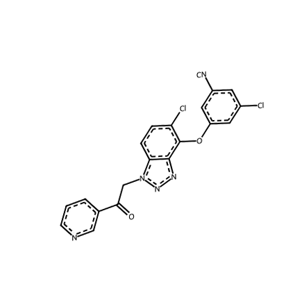 [C-]#[N+]c1cc(Cl)cc(Oc2c(Cl)ccc3c2nnn3CC(=O)c2cccnc2)c1